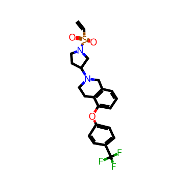 C=CS(=O)(=O)N1CCC(N2CCc3c(cccc3Oc3ccc(C(F)(F)F)cc3)C2)C1